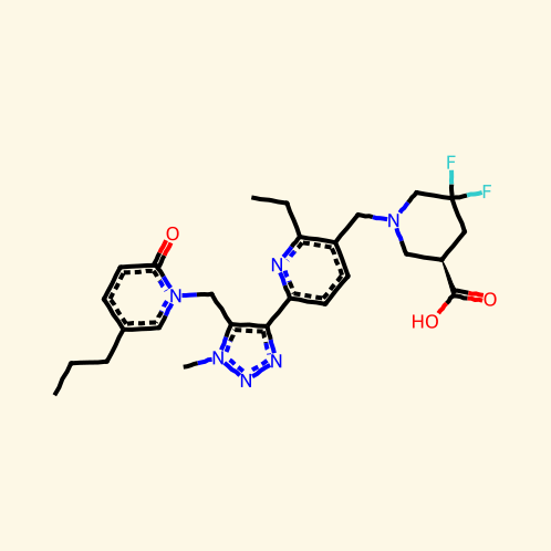 CCCc1ccc(=O)n(Cc2c(-c3ccc(CN4C[C@H](C(=O)O)CC(F)(F)C4)c(CC)n3)nnn2C)c1